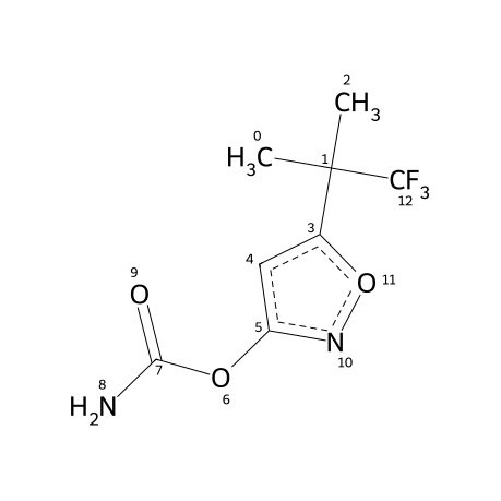 CC(C)(c1cc(OC(N)=O)no1)C(F)(F)F